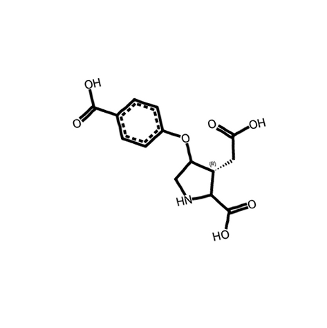 O=C(O)C[C@H]1C(Oc2ccc(C(=O)O)cc2)CNC1C(=O)O